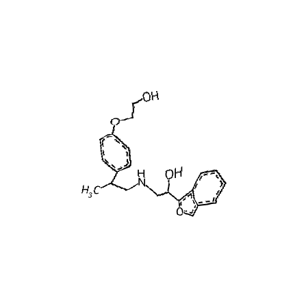 CC(CNCC(O)c1occ2ccccc12)c1ccc(OCCO)cc1